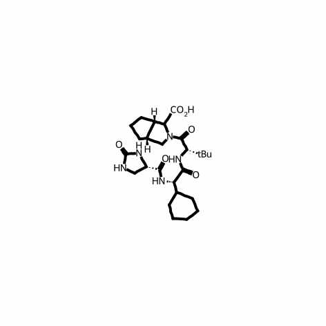 CC(C)(C)[C@H](NC(=O)[C@@H](NC(=O)[C@@H]1CNC(=O)N1)C1CCCCC1)C(=O)N1C[C@@H]2CCC[C@@H]2C1C(=O)O